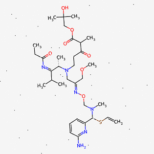 C=CSC(c1cccc(N)n1)N(C)CO/N=C(\COC)CN(CCC(=O)C(C)C(=O)OCC(C)(C)O)[C@@H](C)/C(=N\C(=O)CC)C(C)C